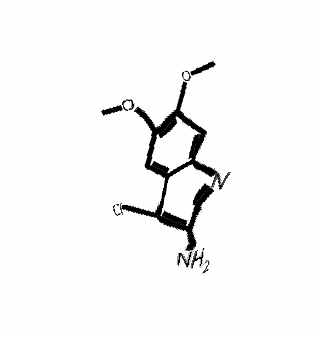 COc1cc2ncc(N)c(Cl)c2cc1OC